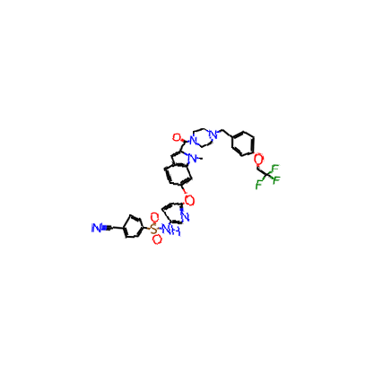 Cn1c(C(=O)N2CCN(Cc3ccc(OCC(F)(F)F)cc3)CC2)cc2ccc(Oc3ccc(NS(=O)(=O)c4ccc(C#N)cc4)cn3)cc21